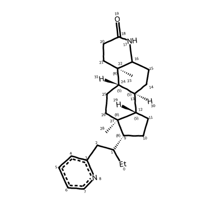 CCC(Cc1ccccn1)[C@H]1CC[C@H]2[C@@H]3CCC4NC(=O)CC[C@]4(C)[C@H]3CC[C@]12C